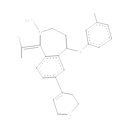 C/C(N)=C1\c2ccc(C3=CCNCC3)cc2C(Nc2cccc(F)c2)CCN1N